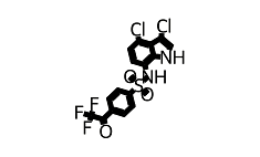 O=C(c1ccc(S(=O)(=O)Nc2ccc(Cl)c3c(Cl)c[nH]c23)cc1)C(F)(F)F